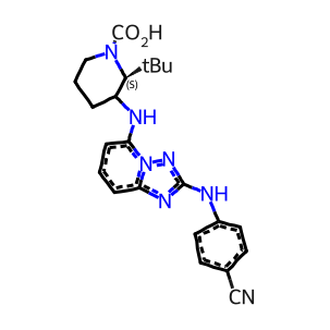 CC(C)(C)[C@H]1C(Nc2cccc3nc(Nc4ccc(C#N)cc4)nn23)CCCN1C(=O)O